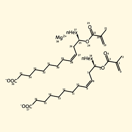 C=C(C)C(=O)O[C@@H](C/C=C\CCCCCCCC(=O)[O-])CCCCCC.C=C(C)C(=O)O[C@@H](C/C=C\CCCCCCCC(=O)[O-])CCCCCC.[Mg+2]